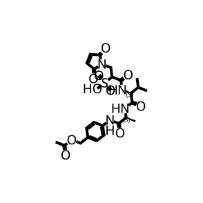 CC(=O)OCc1ccc(NC(=O)[C@H](C)NC(=O)[C@@H](NC(=O)C(CN2C(=O)C=CC2=O)S(=O)(=O)O)C(C)C)cc1